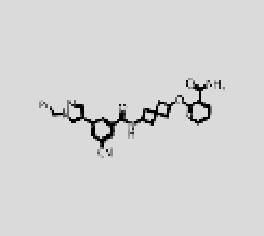 CC(C)Cn1cc(-c2cc(C#N)cc(C(=O)NC3CC4(C3)CC(Oc3ncccc3C(N)=O)C4)c2)cn1